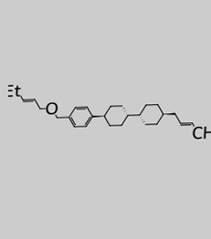 CC=CC[C@H]1CC[C@H]([C@H]2CC[C@H](c3ccc(COCC=CCC)cc3)CC2)CC1